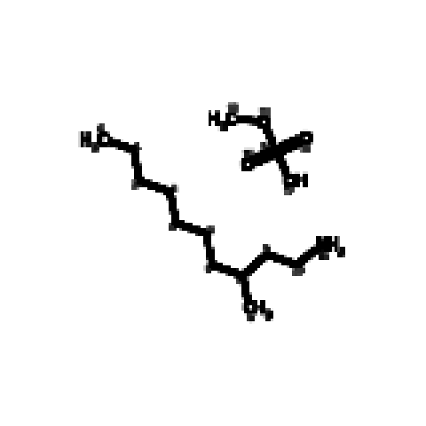 CCCCCCCC(C)CCN.COS(=O)(=O)O